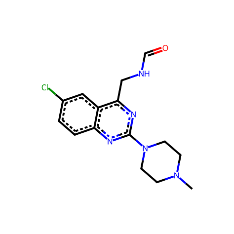 CN1CCN(c2nc(CNC=O)c3cc(Cl)ccc3n2)CC1